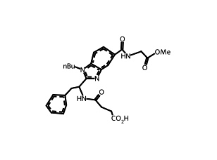 CCCCn1c(C(Cc2ccccc2)NC(=O)CCC(=O)O)nc2cc(C(=O)NCC(=O)OC)ccc21